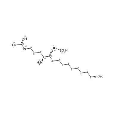 CCCCCCCCCCCCCCCCCCOC(=O)[C@@H](N)CCCNC(=N)N.O=S(=O)(O)O